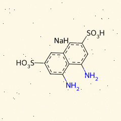 Nc1cc(S(=O)(=O)O)cc2cc(S(=O)(=O)O)cc(N)c12.[NaH]